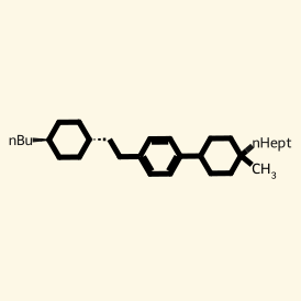 CCCCCCCC1(C)CCC(c2ccc(CC[C@H]3CC[C@H](CCCC)CC3)cc2)CC1